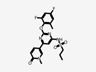 CCCS(=O)(=O)Nc1cc(-c2ccc(=O)n(C)c2)nc(Oc2c(C)cc(F)cc2F)n1